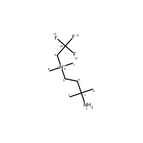 CC(C)(N)CC[N+](C)(C)CC(F)(F)F